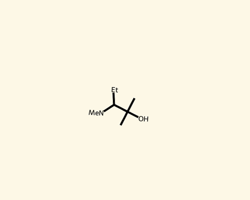 CCC(NC)C(C)(C)O